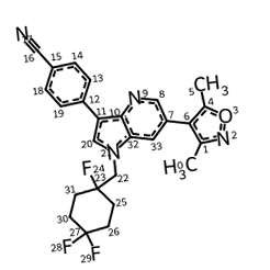 Cc1noc(C)c1-c1cnc2c(-c3ccc(C#N)cc3)cn(CC3(F)CCC(F)(F)CC3)c2c1